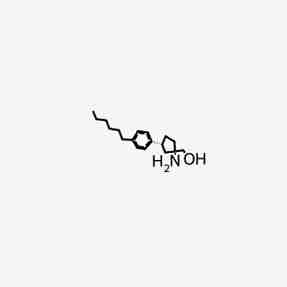 CCCCCCc1ccc([C@@H]2CC[C@@](N)(CO)C2)cc1